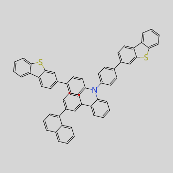 c1cc(-c2ccccc2N(c2ccc(-c3ccc4c(c3)sc3ccccc34)cc2)c2ccc(-c3ccc4c(c3)sc3ccccc34)cc2)cc(-c2cccc3ccccc23)c1